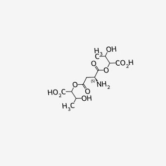 CC(O)C(OC(=O)C[C@H](N)C(=O)OC(C(=O)O)C(C)O)C(=O)O